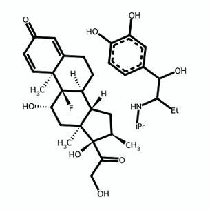 CCC(NC(C)C)C(O)c1ccc(O)c(O)c1.C[C@@H]1C[C@H]2[C@@H]3CCC4=CC(=O)C=C[C@]4(C)[C@@]3(F)[C@@H](O)C[C@]2(C)[C@@]1(O)C(=O)CO